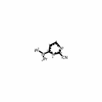 CC(C)N(c1ccnc(C#N)n1)C(C)C